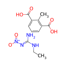 CCNC(N)=N[N+](=O)[O-].Cc1c(C(=O)O)cccc1C(=O)O